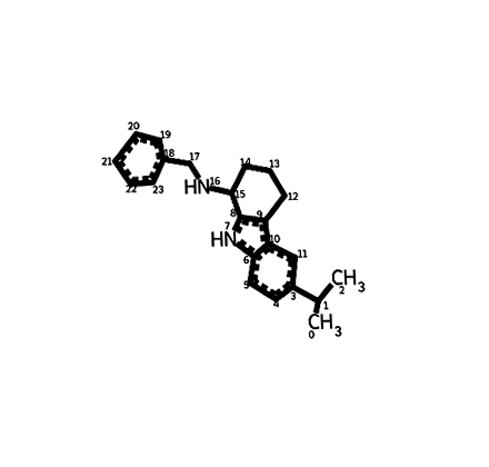 CC(C)c1ccc2[nH]c3c(c2c1)CCCC3NCc1ccccc1